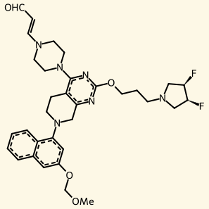 COCOc1cc(N2CCc3c(nc(OCCCN4C[C@@H](F)[C@@H](F)C4)nc3N3CCN(C=CC=O)CC3)C2)c2ccccc2c1